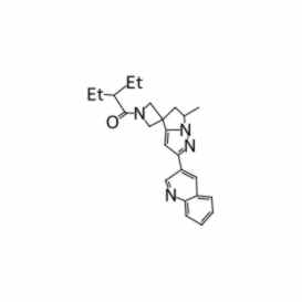 CCC(CC)C(=O)N1CC2(CC(C)n3nc(-c4cnc5ccccc5c4)cc32)C1